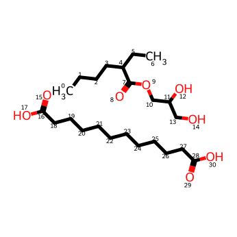 CCCCC(CC)C(=O)OCC(O)CO.O=C(O)CCCCCCCCCCC(=O)O